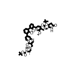 COc1nc(-c2cccc(-c3cccc(-c4ccn5c(=O)c(CNC[C@H](C)NC(=O)OC(C)(C)C)cnc5c4)c3Cl)c2Cl)ccc1CN(C[C@@H]1CCC(=O)N1)C(=O)OC(C)(C)C